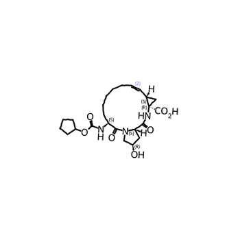 O=C(N[C@H]1CCCCC/C=C\[C@@H]2C[C@@]2(C(=O)O)NC(=O)[C@@H]2C[C@@H](O)CN2C1=O)OC1CCCC1